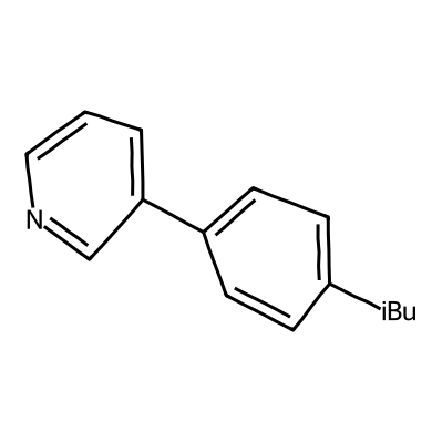 CCC(C)c1ccc(-c2cccnc2)cc1